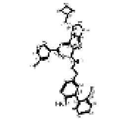 Oc1ccc(CCNc2nc(-c3cncc(F)c3)nc3c2nc2n3[C@H](CC3CCC3)CS2)cc1-c1ccccc1F